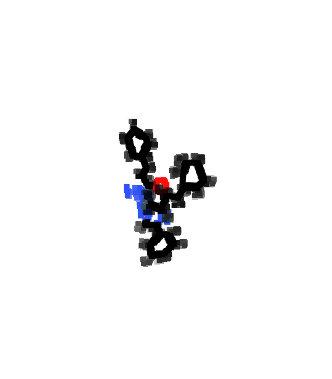 O=C(CCc1ccccc1)Nc1ncc(-c2ccccc2)nc1CCc1ccccc1